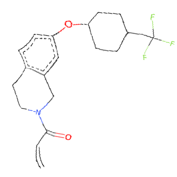 C=CC(=O)N1CCc2ccc(OC3CCC(C(F)(F)F)CC3)cc2C1